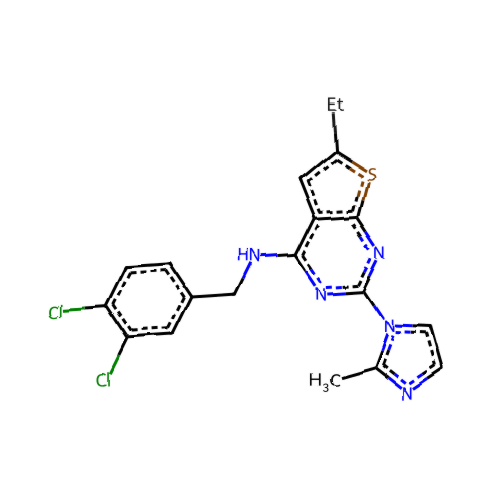 CCc1cc2c(NCc3ccc(Cl)c(Cl)c3)nc(-n3ccnc3C)nc2s1